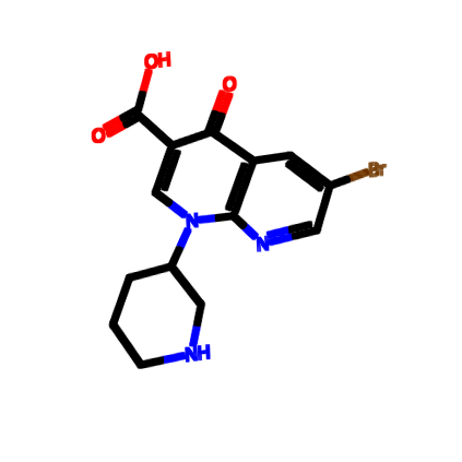 O=C(O)c1cn(C2CCCNC2)c2ncc(Br)cc2c1=O